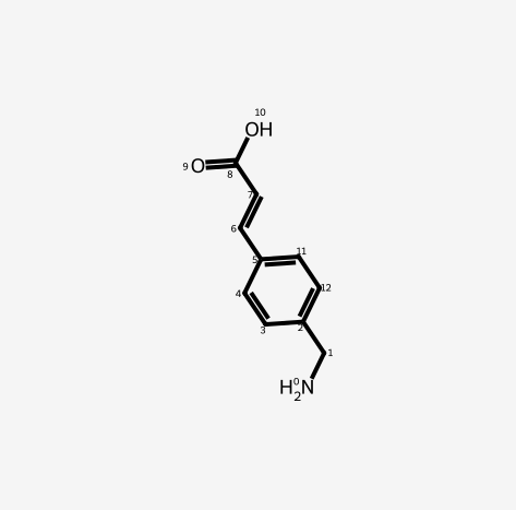 NCc1ccc(/C=C/C(=O)O)cc1